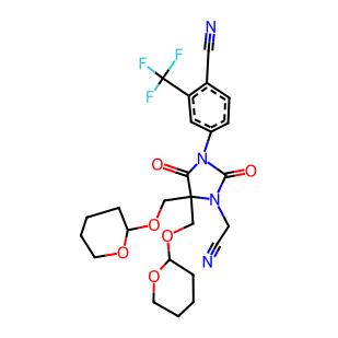 N#CCN1C(=O)N(c2ccc(C#N)c(C(F)(F)F)c2)C(=O)C1(COC1CCCCO1)COC1CCCCO1